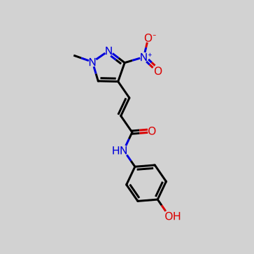 Cn1cc(C=CC(=O)Nc2ccc(O)cc2)c([N+](=O)[O-])n1